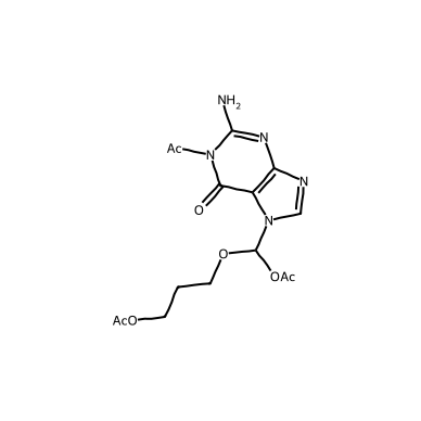 CC(=O)OCCCOC(OC(C)=O)n1cnc2nc(N)n(C(C)=O)c(=O)c21